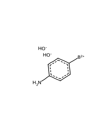 [B+2]c1ccc(N)cc1.[OH-].[OH-]